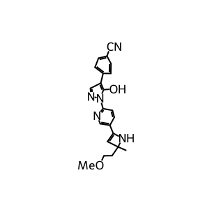 COCCC1(C)C=C(c2ccc(-n3ncc(-c4ccc(C#N)cc4)c3O)nc2)N1